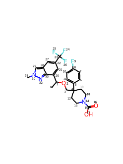 CC(OCC1(c2ccc(F)cc2)CCN(C(=O)O)CC1)c1cc(C(F)(F)F)cc2cn(C)nc12